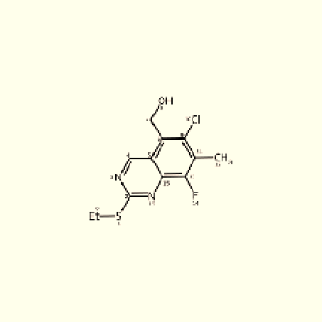 CCSc1ncc2c(CO)c(Cl)c(C)c(F)c2n1